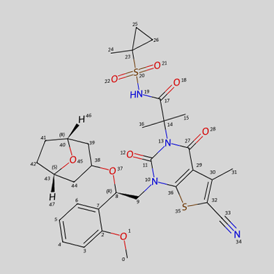 COc1ccccc1[C@H](Cn1c(=O)n(C(C)(C)C(=O)NS(=O)(=O)C2(C)CC2)c(=O)c2c(C)c(C#N)sc21)OC1C[C@H]2CC[C@@H](C1)O2